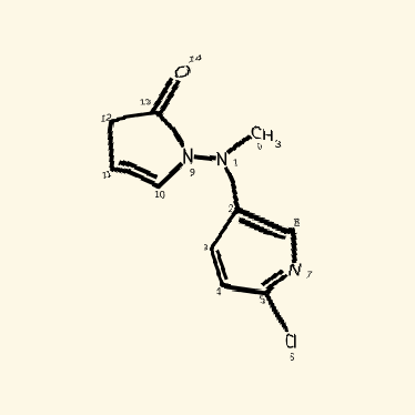 CN(c1ccc(Cl)nc1)N1C=CCC1=O